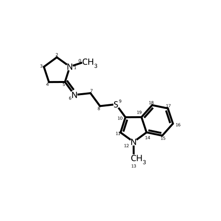 CN1CCCC1=NCCSc1cn(C)c2ccccc12